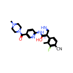 Cc1c(/C(C=N)=C(\O)Nc2ccc(C(=O)N3CCN(C)CC3)cn2)ccc(C#N)c1F